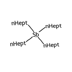 CCCCCC[CH2][Sb]([CH2]CCCCCC)([CH2]CCCCCC)[CH2]CCCCCC